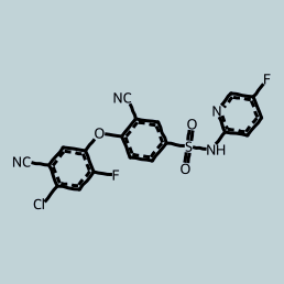 N#Cc1cc(Oc2ccc(S(=O)(=O)Nc3ccc(F)cn3)cc2C#N)c(F)cc1Cl